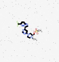 CN1CCN(c2cc(-c3cnc4ccc(C(F)F)nn34)ncn2)C[C@H]1COS(C)(=O)=O